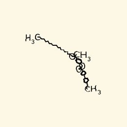 CCCCCCCCCCCCCCCCCCOC(C)c1ccc(OC(=O)c2ccc(-c3ccc(CCC)cc3)cc2)cc1